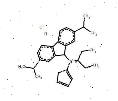 CC[C](CC)=[Ti+2]([C]1=CC=CC1)[CH]1c2cc(C(C)C)ccc2-c2ccc(C(C)C)cc21.[Cl-].[Cl-]